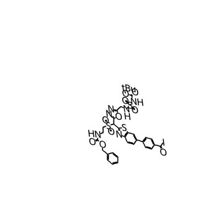 CC(C)(C)OC(=O)NS(=O)(=O)NCc1nnc(C(c2nc3ccc(-c4ccc(C(=O)I)cc4)cc3s2)S(=O)(=O)CCNC(=O)OCc2ccccc2)o1